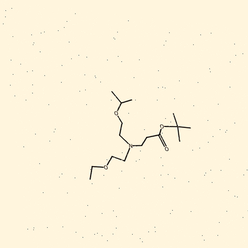 CCOCCN(CCOC(C)C)CCC(=O)OC(C)(C)C